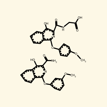 COc1ccc(Oc2nc(C(=O)NCC(=O)O)c(O)c3ccccc23)cc1.COc1cccc(Oc2nc(C(N)=O)c(O)c3ccccc23)c1